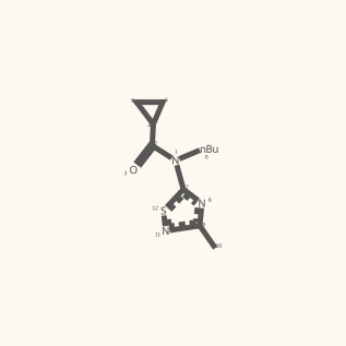 CCCCN(C(=O)C1CC1)c1nc(C)ns1